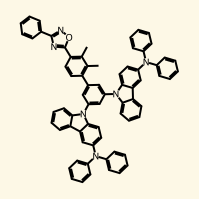 Cc1c(-c2cc(-n3c4ccccc4c4cc(N(c5ccccc5)c5ccccc5)ccc43)cc(-n3c4ccccc4c4cc(N(c5ccccc5)c5ccccc5)ccc43)c2)ccc(-c2nc(-c3ccccc3)no2)c1C